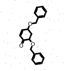 O=C1C=CC(OCc2ccccc2)CC1OCc1ccccc1